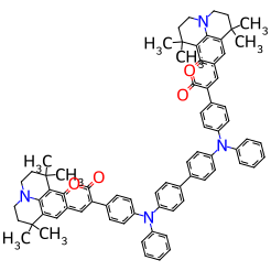 CC1(C)CCN2CCC(C)(C)c3c2c1cc1cc(-c2ccc(N(c4ccccc4)c4ccc(-c5ccc(N(c6ccccc6)c6ccc(-c7cc8cc9c%10c(c8oc7=O)C(C)(C)CCN%10CCC9(C)C)cc6)cc5)cc4)cc2)c(=O)oc31